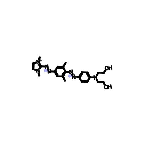 Cc1cc(/N=N/c2n(C)cc[n+]2C)cc(C)c1/N=N/c1ccc(N(CCO)CCO)cc1